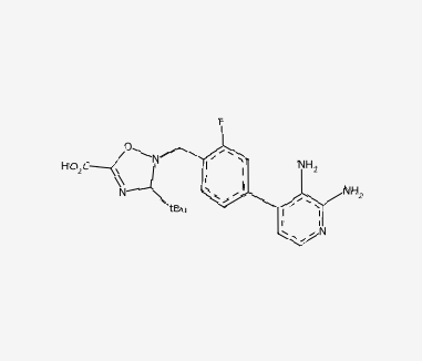 CC(C)(C)C1N=C(C(=O)O)ON1Cc1ccc(-c2ccnc(N)c2N)cc1F